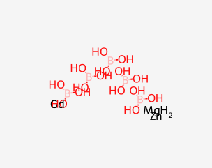 OB(O)O.OB(O)O.OB(O)O.OB(O)O.OB(O)O.[Gd].[MgH2].[Zn]